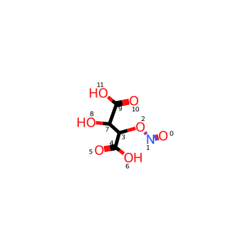 O=NOC(C(=O)O)C(O)C(=O)O